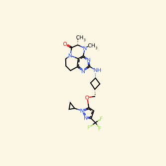 C[C@H]1C(=O)N2CCCc3nc(N[C@H]4C[C@@H](COc5cc(C(F)(F)F)nn5C5CC5)C4)nc(c32)N1C